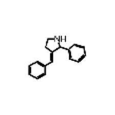 C(=C1/CCNC1c1ccccc1)/c1ccccc1